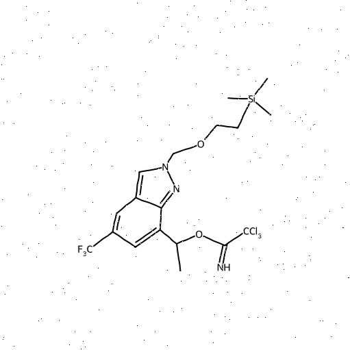 CC(OC(=N)C(Cl)(Cl)Cl)c1cc(C(F)(F)F)cc2cn(COCC[Si](C)(C)C)nc12